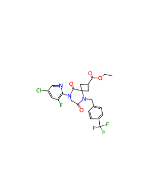 CCOC(=O)C1CC2(C1)C(=O)N(c1ncc(Cl)cc1F)CC(=O)N2Cc1ccc(C(F)(F)F)cc1